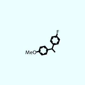 COc1ccc([C](C)c2ccc(F)cc2)cc1